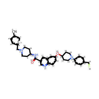 N#Cc1ccc(CN2CCC(NC(=O)c3cnc4ccc(OC5CCN(c6ccc(CF)cc6)CC5)cc4c3)CC2)cc1